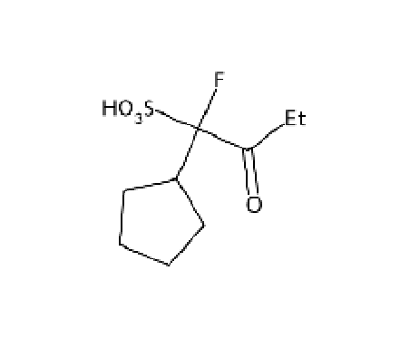 CCC(=O)C(F)(C1CCCC1)S(=O)(=O)O